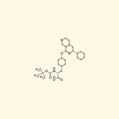 CC(C)(C)OC(=O)N[C@@H](Cc1ccc(Oc2nc(-c3ccccc3)cc3ccncc23)cc1)C(=O)O